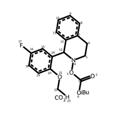 CC(C)COC(=O)ON1CCc2ccccc2C1c1cc(F)ccc1OCC(=O)O